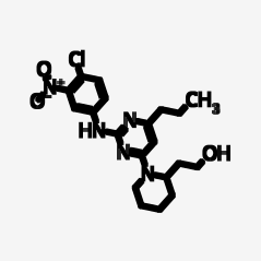 CCCc1cc(N2CCCCC2CCO)nc(Nc2ccc(Cl)c([N+](=O)[O-])c2)n1